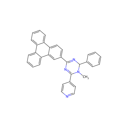 CN1C(c2ccncc2)=NC(c2ccc3c4ccccc4c4ccccc4c3c2)=NC1c1ccccc1